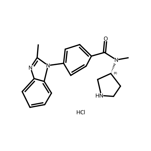 Cc1nc2ccccc2n1-c1ccc(C(=O)N(C)[C@@H]2CCNC2)cc1.Cl